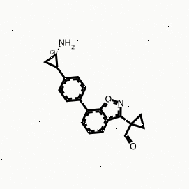 N[C@H]1CC1c1ccc(-c2cccc3c(C4(C=O)CC4)noc23)cc1